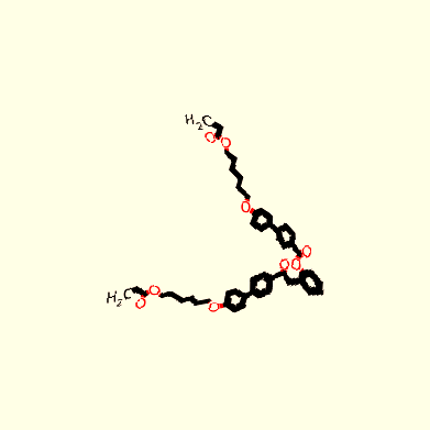 C=CC(=O)OCCCCCCOc1ccc(-c2ccc(C(=O)Cc3ccccc3OC(=O)c3ccc(-c4ccc(OCCCCCCOC(=O)C=C)cc4)cc3)cc2)cc1